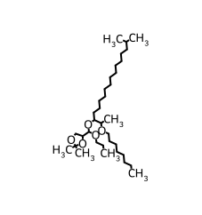 CCCCCCCCOC(C)C(CCCCCCCCCCCCC(C)C)OC(OCCC)C1COC(C)(C)O1